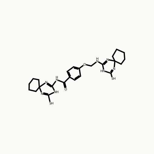 O=C(NC1=NC2(CCCCC2)N=C(S)N1)c1ccc(OCNC2=NC3(CCCCC3)N=C(S)N2)cc1